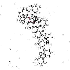 CC1(C)c2cc(-c3cccc4c3oc3ccccc34)ccc2-c2ccc(N(c3ccc4c(c3)C3(c5ccccc5-c5ccccc5-c5ccccc53)c3ccccc3-4)c3ccccc3-c3ccccc3)cc21